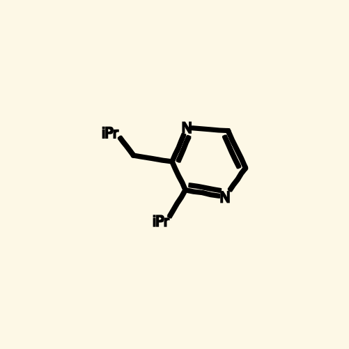 CC(C)Cc1nccnc1C(C)C